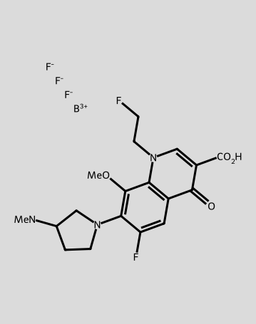 CNC1CCN(c2c(F)cc3c(=O)c(C(=O)O)cn(CCF)c3c2OC)C1.[B+3].[F-].[F-].[F-]